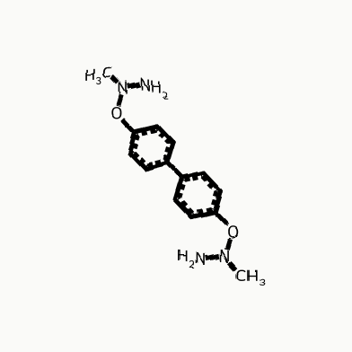 CN(N)Oc1ccc(-c2ccc(ON(C)N)cc2)cc1